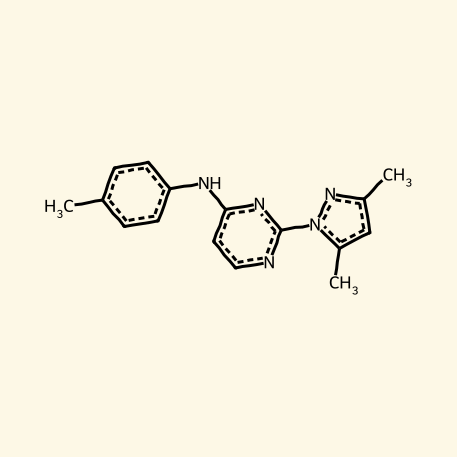 Cc1ccc(Nc2ccnc(-n3nc(C)cc3C)n2)cc1